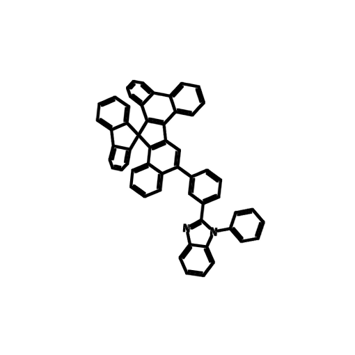 c1ccc(-n2c(-c3cccc(-c4cc5c(c6ccccc46)C4(c6ccccc6-c6ccccc64)c4c-5c5ccccc5c5ccccc45)c3)nc3ccccc32)cc1